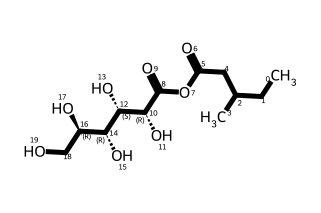 CCC(C)CC(=O)OC(=O)[C@H](O)[C@@H](O)[C@H](O)[C@H](O)CO